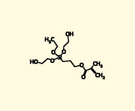 C=C(C)C(=O)OCCC[Si](OCC)(OCCO)OCCO